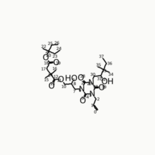 C=CCn1c(=O)n(CC(O)COC(=O)C(C)(C)CC(=O)OC(C)(CC)CC)c(=O)n(CC(O)C(C)(C)CC)c1=O